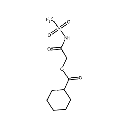 O=C(COC(=O)C1CCCCC1)NS(=O)(=O)C(F)(F)F